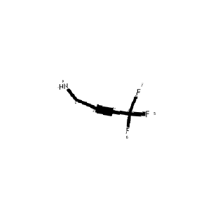 [NH]CC#CC(F)(F)F